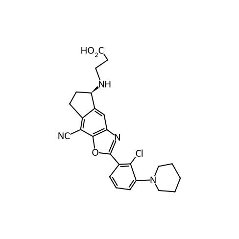 N#Cc1c2c(cc3nc(-c4cccc(N5CCCCC5)c4Cl)oc13)[C@H](NCCC(=O)O)CC2